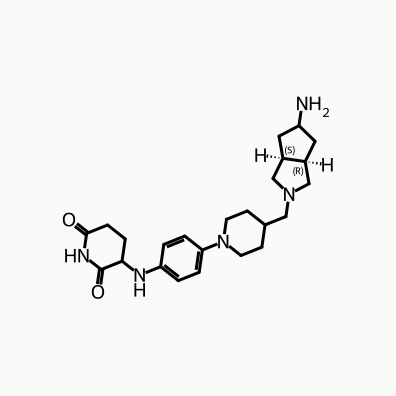 NC1C[C@@H]2CN(CC3CCN(c4ccc(NC5CCC(=O)NC5=O)cc4)CC3)C[C@@H]2C1